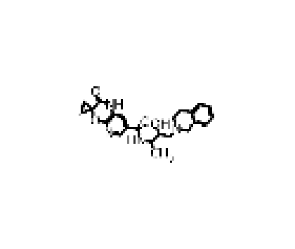 CC(NC(=O)c1cnc2c(c1)NC(=O)C1(CC1)O2)C(O)CN1CCc2ccccc2C1